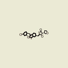 O=C1S/C(=C\c2ccc3c(cnn3Cc3ccc(Cl)cc3C(F)(F)F)c2)C(=O)N1[C@@H]1CCOC1